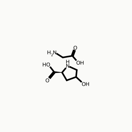 NCC(=O)O.O=C(O)[C@@H]1CC(O)CN1